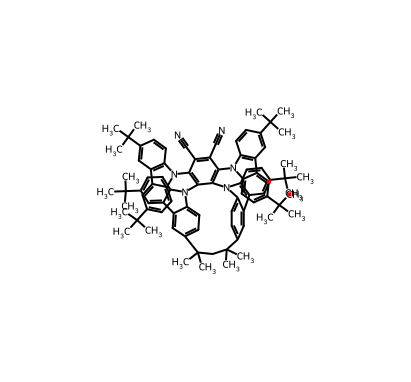 CC(C)(C)c1ccc2c(c1)c1cc(C(C)(C)C)ccc1n2-c1c(C#N)c(C#N)c(-n2c3ccc(C(C)(C)C)cc3c3cc(C(C)(C)C)ccc32)c2c1-n1c3ccc(C(C)(C)C)cc3c3cc(ccc31)C(C)(C)CC(C)(C)c1ccc3c(c1)c1cc(C(C)(C)C)ccc1n3-2